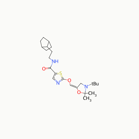 CC(C)(C)N1CC(=COc2ncc(C(=O)NCCC3C4CCC3CC4)s2)OC1(C)C